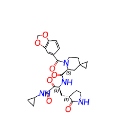 O=C(NC1CC1)C(=O)[C@H](C[C@@H]1CCNC1=O)NC(=O)[C@@H]1CC2(CCN1C(=O)c1ccc3c(c1)OCO3)CC2